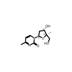 Cc1ccn([C@H]2C[C@H](O)[C@@](C)(CO)O2)c(=O)n1